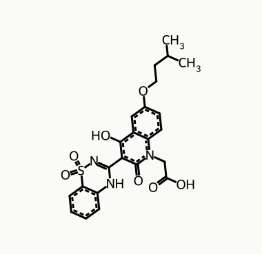 CC(C)CCOc1ccc2c(c1)c(O)c(C1=NS(=O)(=O)c3ccccc3N1)c(=O)n2CC(=O)O